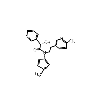 Cc1ccc(N(CCc2ccc(C(F)(F)F)nc2)C(=O)[C@@H](O)c2cccnc2)cc1